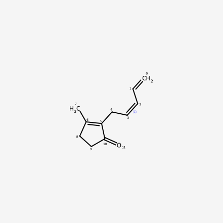 C=C/C=C\CC1=C(C)CCC1=O